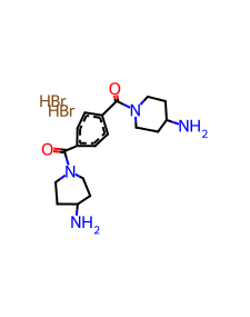 Br.Br.NC1CCN(C(=O)c2ccc(C(=O)N3CCC(N)CC3)cc2)CC1